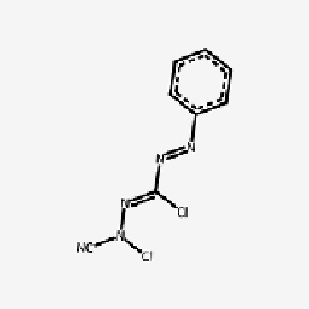 N#CN(Cl)N=C(Cl)N=Nc1ccccc1